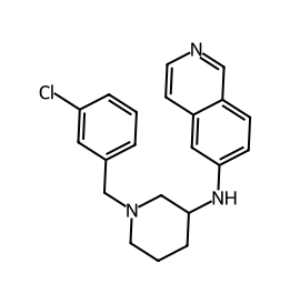 Clc1cccc(CN2CCCC(Nc3ccc4cnccc4c3)C2)c1